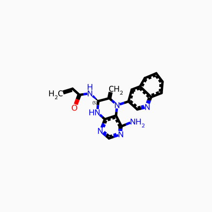 C=CC(=O)N[C@@H]1Nc2ncnc(N)c2N(c2cnc3ccccc3c2)C1=C